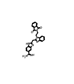 N=C(N)c1ccc2[nH]c(Cc3nc4ccccc4n3CCN3C(=O)c4ccccc4C3=O)nc2c1